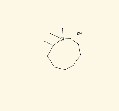 CC1CCCCCCC[Si]1(C)C.[KH]